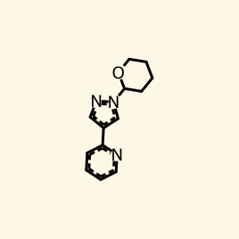 c1ccc(-c2cnn(C3CCCCO3)c2)nc1